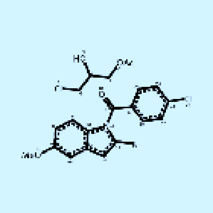 CC(=O)OCC(O)CCl.COc1ccc2c(c1)cc(C)n2C(=O)c1ccc(Cl)cc1